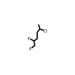 [CH2]C(Cl)CCC(F)CF